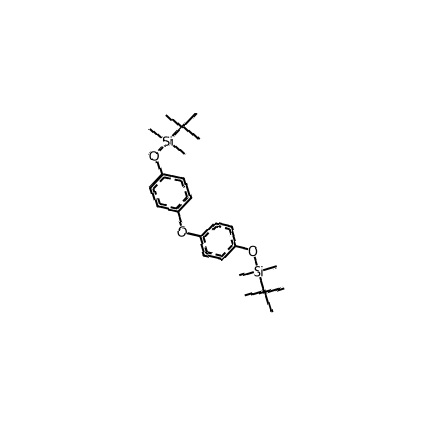 CC(C)(C)[Si](C)(C)Oc1ccc(Oc2ccc(O[Si](C)(C)C(C)(C)C)cc2)cc1